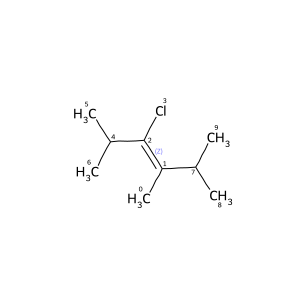 C/C(=C(/Cl)C(C)C)C(C)C